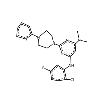 CN(C)c1cc(Nc2cc(F)ccc2Cl)nc(N2CCN(c3ccccn3)CC2)n1